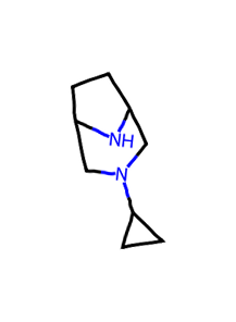 C1CC2CN(C3CC3)CC1N2